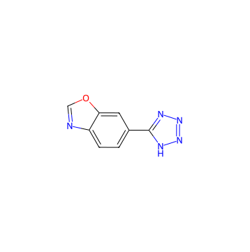 c1nc2ccc(-c3nnn[nH]3)cc2o1